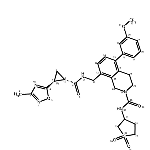 Cc1noc([C@H]2C[C@@H]2C(=O)NCc2ccc(-c3cccc(OC(F)(F)F)c3)c3c2CN(C(=O)NC2CCS(=O)(=O)C2)CC3)n1